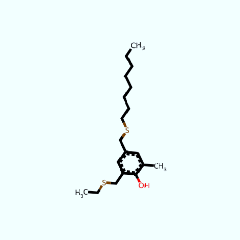 CCCCCCCCSCc1cc(C)c(O)c(CSCC)c1